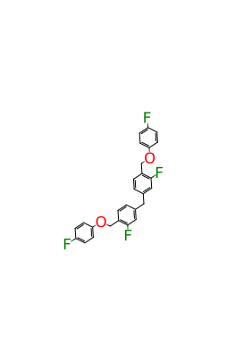 Fc1ccc(OCc2ccc(Cc3ccc(COc4ccc(F)cc4)c(F)c3)cc2F)cc1